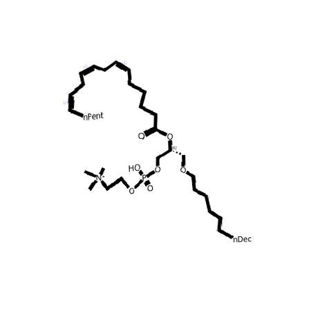 CCCCC/C=C\C/C=C\C/C=C\CCCCC(=O)O[C@H](COCCCCCCCCCCCCCCCC)COP(=O)(O)OCC[N+](C)(C)C